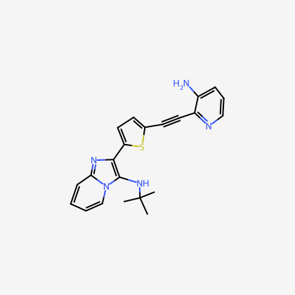 CC(C)(C)Nc1c(-c2ccc(C#Cc3ncccc3N)s2)nc2ccccn12